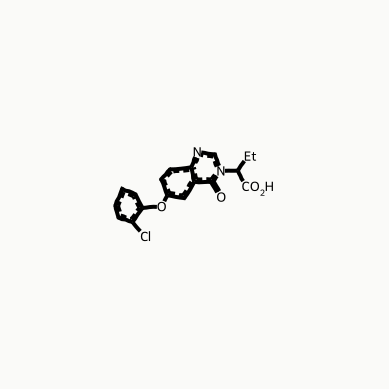 CCC(C(=O)O)n1cnc2ccc(Oc3ccccc3Cl)cc2c1=O